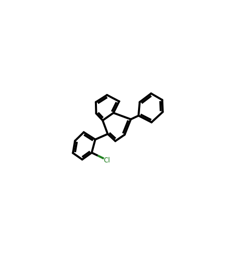 Clc1ccccc1-c1ccc(-c2ccccc2)c2ccccc12